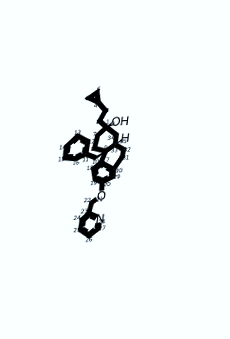 O[C@]1(CCC2CC2)CC[C@@]2(Cc3ccccc3)c3ccc(OCc4ccccn4)cc3CC[C@@H]2C1